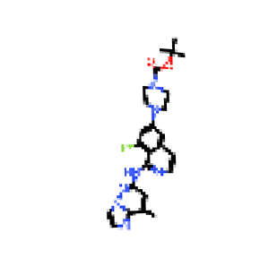 Cc1cc(Nc2nccc3cc(N4CCN(C(=O)OC(C)(C)C)CC4)cc(F)c23)nn2ccnc12